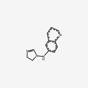 C1=NCCN1Nc1ccc2ncccc2c1